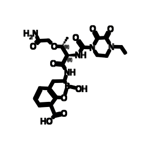 CCN1CCN(C(=O)N[C@@H](C(=O)NC2Cc3cccc(C(=O)O)c3OB2O)[C@@H](C)OCC(N)=O)C(=O)C1=O